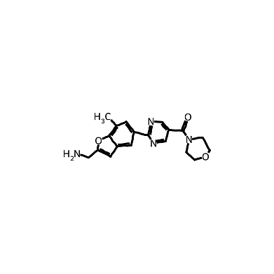 Cc1cc(-c2ncc(C(=O)N3CCOCC3)cn2)cc2cc(CN)oc12